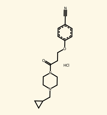 Cl.N#Cc1ccc(OCCC(=O)N2CCN(CC3CC3)CC2)cc1